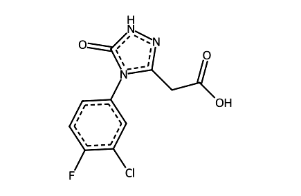 O=C(O)Cc1n[nH]c(=O)n1-c1ccc(F)c(Cl)c1